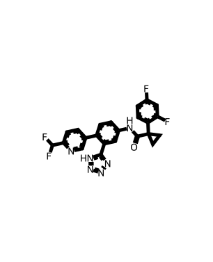 O=C(Nc1ccc(-c2ccc(C(F)F)nc2)c(-c2nnn[nH]2)c1)C1(c2ccc(F)cc2F)CC1